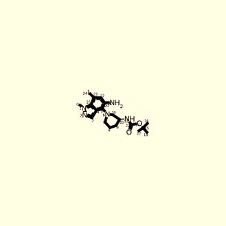 Cn1ncc2c(N3CCC[C@@H](NC(=O)OC(C)(C)C)C3)c(N)cc(I)c21